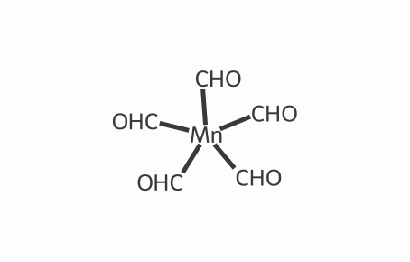 O=[CH][Mn]([CH]=O)([CH]=O)([CH]=O)[CH]=O